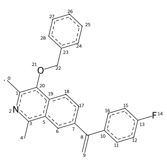 [CH2]c1nc(C)c2cc(C(=C)c3ccc(F)cc3)ccc2c1OCc1ccccc1